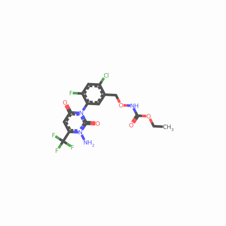 CCOC(=O)NOCc1cc(-n2c(=O)cc(C(F)(F)F)n(N)c2=O)c(F)cc1Cl